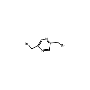 BrCc1cnc(CBr)cn1